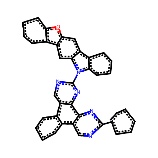 c1ccc(-c2ncc3c4ccccc4c4cnc(-n5c6ccccc6c6cc7oc8ccccc8c7cc65)nc4c3n2)cc1